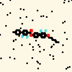 CCCCCCOc1ccc(-c2ccc(OC(=O)c3ccc(C4CCC(C)CC4)c(F)c3F)cc2)c(F)c1F